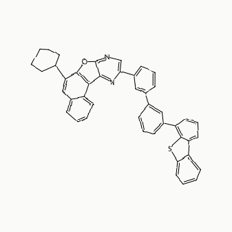 c1cc(-c2cccc(-c3cccc4c3sc3ccccc34)c2)cc(-c2cnc3oc4c(C5CCCCC5)cc5ccccc5c4c3n2)c1